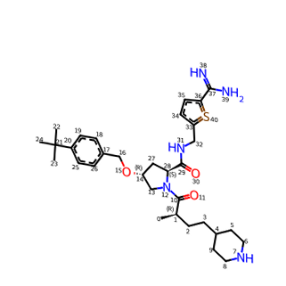 C[C@H](CCC1CCNCC1)C(=O)N1C[C@H](OCc2ccc(C(C)(C)C)cc2)C[C@H]1C(=O)NCc1ccc(C(=N)N)s1